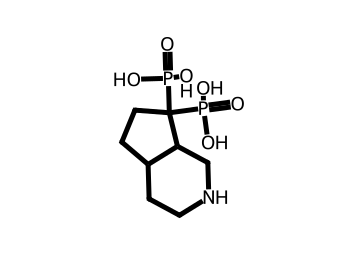 O=P(O)(O)C1(P(=O)(O)O)CCC2CCNCC21